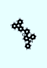 c1ccc(-c2nc3ccccc3c3c2ccc2oc4c(-c5ccc6c7ccccc7c7ccccc7c6c5)cccc4c23)cc1